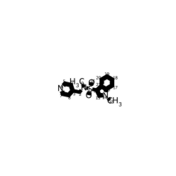 CN(Cc1ccncc1)S(=O)(=O)c1cn(C)c2ccccc12